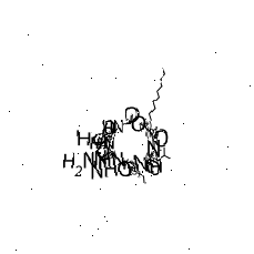 CCCCCCCCCC[C@H]1OC(=O)CNC(=O)[C@H]([C@H](C)O)NC(=O)[C@H](CNC(=N)N)NC(=O)[C@H]([C@@H](C)CC)NC(=O)[C@H](CC(C)C)N(C)C(=O)[C@@H]1C